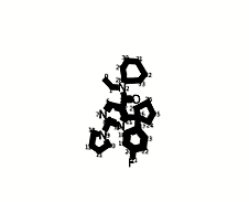 CCN(C(=O)c1cnc(N2CCCC2)nc1C1(c2ccc(F)cc2)CCCC1)C1CCCCC1